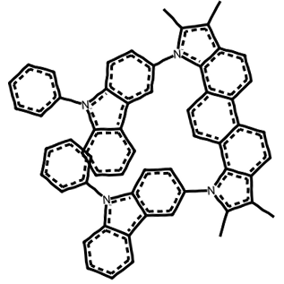 Cc1c(C)n(-c2ccc3c(c2)c2ccccc2n3-c2ccccc2)c2c1ccc1c3ccc4c(C)c(C)n(-c5ccc6c(c5)c5ccccc5n6-c5ccccc5)c4c3ccc12